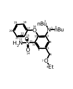 CCCCN(CCCC)c1cc(COCC)cc(S(N)(=O)=O)c1Oc1ccccc1